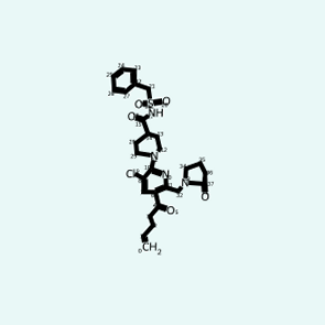 C=CCCC(=O)c1cc(Cl)c(N2CCC(C(=O)NS(=O)(=O)Cc3ccccc3)CC2)nc1CN1CCCC1=O